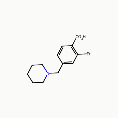 CCc1cc(CN2CCCCC2)ccc1C(=O)O